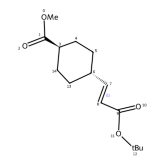 COC(=O)[C@H]1CC[C@H](/C=C/C(=O)OC(C)(C)C)CC1